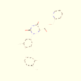 COc1ccc(Oc2c(C)cc(-n3nc(C(=O)OCc4ccccn4)c(=O)[nH]c3=O)cc2C)cc1Br